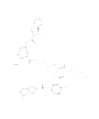 COc1ccc(NC(=O)c2cn3ccsc3n2)cc1C(=O)NCCCC[C@H](NC(=O)c1cc(NC(=O)c2cn3ccsc3n2)ccc1OC)C(=O)NCCCN